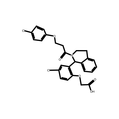 O=C(O)COc1ccc(Cl)cc1C1c2ccccc2CCN1C(=O)CCOc1ccc(Cl)cc1